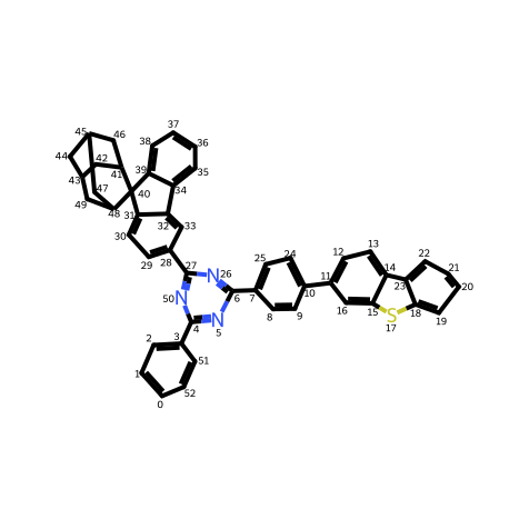 c1ccc(-c2nc(-c3ccc(-c4ccc5c(c4)sc4ccccc45)cc3)nc(-c3ccc4c(c3)-c3ccccc3C43C4CC5CC(C4)CC3C5)n2)cc1